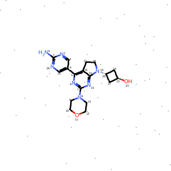 Nc1ncc(-c2nc(N3CCOCC3)nc3c2CCN3[C@H]2C[C@H](O)C2)cn1